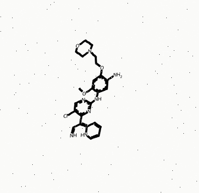 COc1cc(OCCN2CCOCC2)c(N)cc1Nc1ncc(Cl)c(/C(C=N)=C2\C=CC=CN2)n1